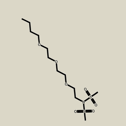 CCCCOCCOCCOCCN(S(C)(=O)=O)S(C)(=O)=O